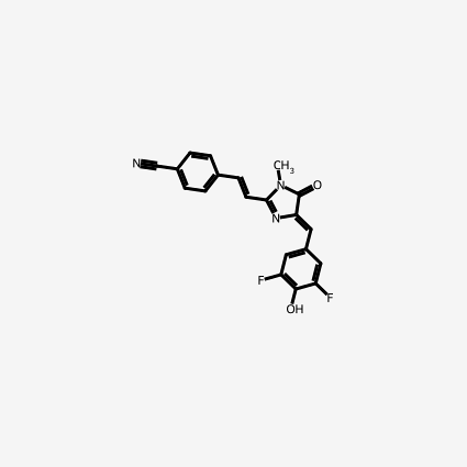 CN1C(=O)/C(=C/c2cc(F)c(O)c(F)c2)N=C1/C=C/c1ccc(C#N)cc1